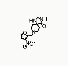 O=C1NCNC12CCN(Cc1occc1[N+](=O)[O-])CC2